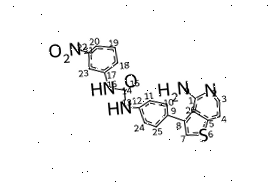 Nc1nccc2scc(-c3ccc(NC(=O)Nc4cccc([N+](=O)[O-])c4)cc3)c12